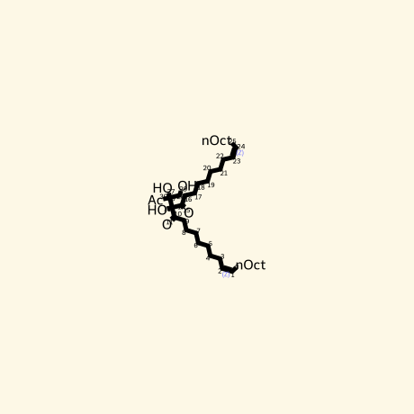 CCCCCCCC/C=C\CCCCCCCC(=O)C(O)(C(=O)CCCCCCC/C=C\CCCCCCCC)C(O)(CO)C(C)=O